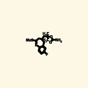 CSC1=Nc2ccc(F)cc2CC(CC(C)(C)OC(N)=O)C1